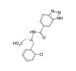 O=C(O)C[C@@H](Cc1ccccc1Cl)NC(=O)c1ccc2nn[nH]c2c1